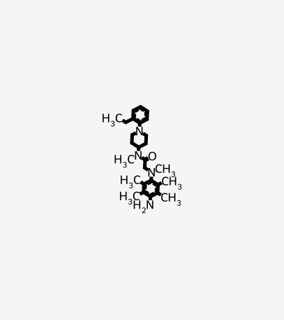 CCc1ccccc1N1CCC(N(C)C(=O)CN(C)c2c(C)c(C)c(N)c(C)c2C)CC1